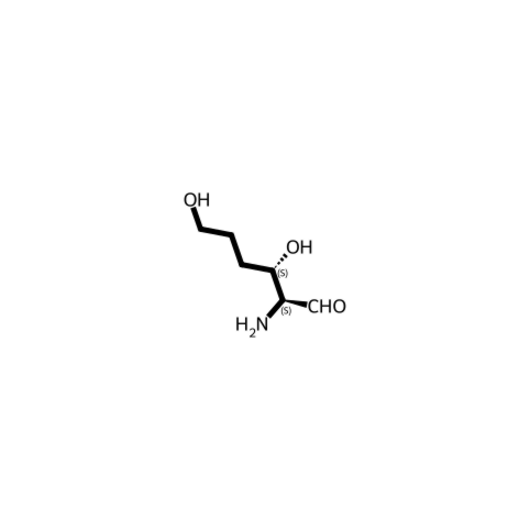 N[C@H](C=O)[C@@H](O)CCCO